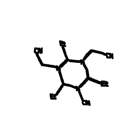 CCC1N(C#N)C(CC)N(CC#N)C(CC)N1CC#N